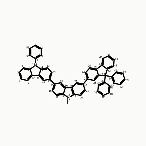 c1ccc(-n2c3ccccc3c3cc(-c4ccc5[nH]c6ccc(-c7ccc8c(c7)C(c7ccccc7)(c7ccccc7)c7ccccc7-8)cc6c5c4)ccc32)cc1